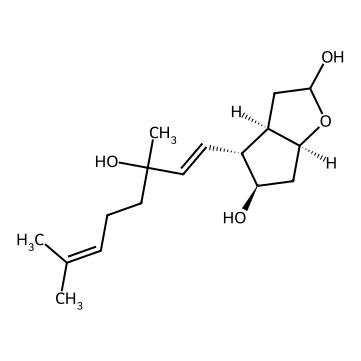 CC(C)=CCCC(C)(O)/C=C/[C@@H]1[C@H]2CC(O)O[C@H]2C[C@H]1O